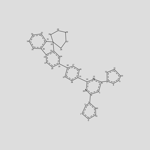 c1ccc(-c2cc(-c3ccccc3)nc(-c3ccc(-c4ccc5c(c4)C4(CCCCC4)c4ccccc4-5)cc3)n2)cc1